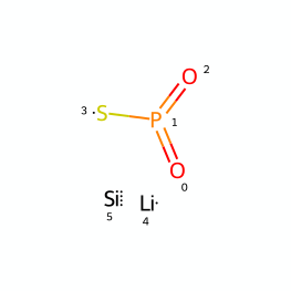 O=P(=O)[S].[Li].[Si]